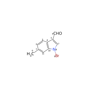 Cc1ccc2c(C=O)cn(Br)c2c1